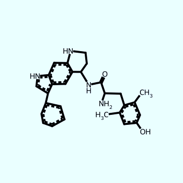 Cc1cc(O)cc(C)c1CC(N)C(=O)NC1CCNc2cc3[nH]cc(-c4ccccc4)c3cc21